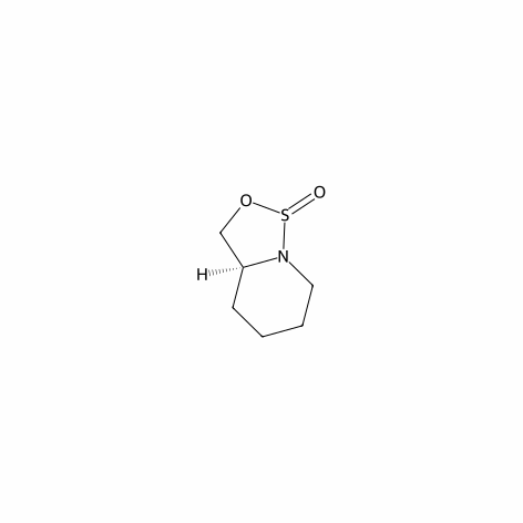 O=S1OC[C@@H]2CCCCN21